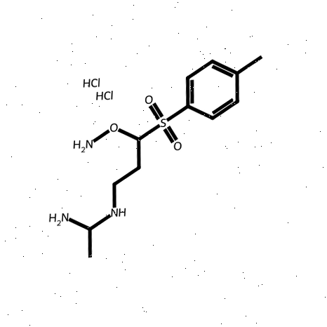 Cc1ccc(S(=O)(=O)C(CCNC(C)N)ON)cc1.Cl.Cl